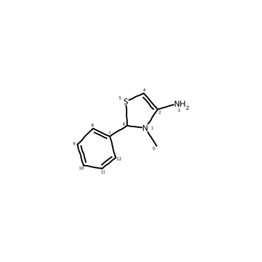 CN1C(N)=CSC1c1ccccc1